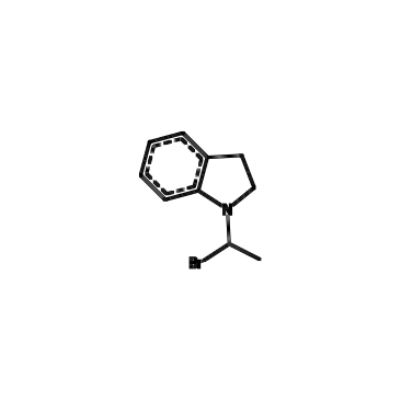 CC(Br)N1CCc2ccccc21